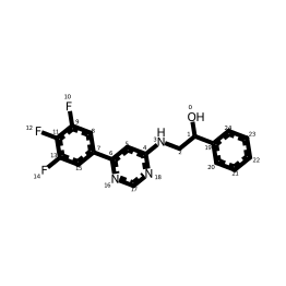 OC(CNc1cc(-c2cc(F)c(F)c(F)c2)ncn1)c1ccccc1